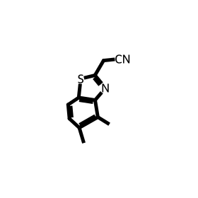 Cc1ccc2sc(CC#N)nc2c1C